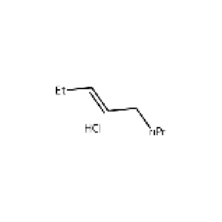 CCC=CCCCC.Cl